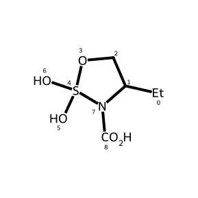 CCC1COS(O)(O)N1C(=O)O